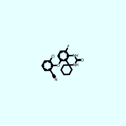 N#Cc1cccc(Cl)c1Oc1ccc(F)c2c1C1(CCCCC1)NC(=O)N2